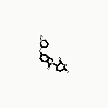 CC(C)N1CCC[C@@H](Oc2ccc3c(c2)CN(C2CCC(=O)NC2=O)C3=O)C1